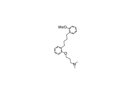 COc1ccccc1CCCCc1ccccc1OCCCN(C)C